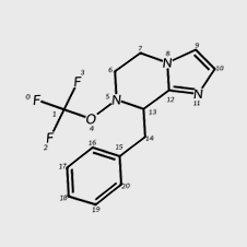 FC(F)(F)ON1CCn2ccnc2C1Cc1ccccc1